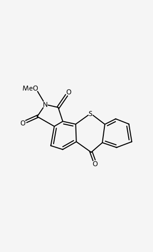 CON1C(=O)c2ccc3c(=O)c4ccccc4sc3c2C1=O